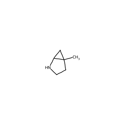 CC12CCNC1C2